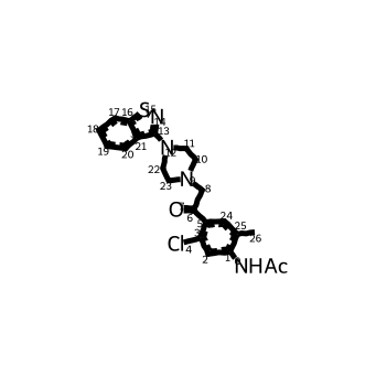 CC(=O)Nc1cc(Cl)c(C(=O)CN2CCN(c3nsc4ccccc34)CC2)cc1C